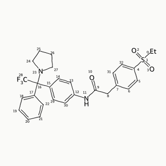 CCS(=O)(=O)c1ccc(CC(=O)Nc2ccc(C(c3ccccc3)(N3CCCC3)C(F)(F)F)cc2)cc1